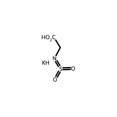 O=C(O)CN=S(=O)=O.[KH]